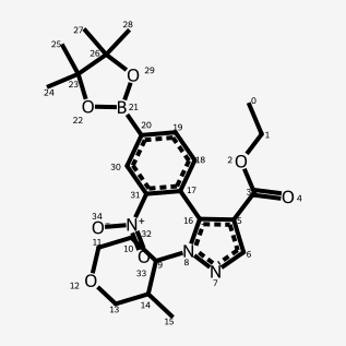 CCOC(=O)c1cnn(C2CCOCC2C)c1-c1ccc(B2OC(C)(C)C(C)(C)O2)cc1[N+](=O)[O-]